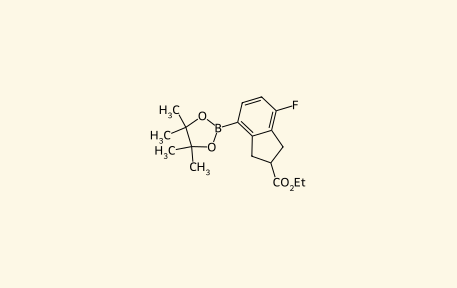 CCOC(=O)C1Cc2c(F)ccc(B3OC(C)(C)C(C)(C)O3)c2C1